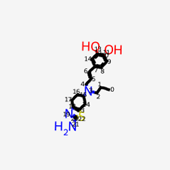 CCCN(C/C=C/c1ccc(O)c(O)c1)C1CCc2nc(N)sc2C1